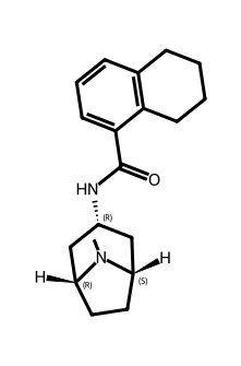 CN1[C@@H]2CC[C@H]1C[C@@H](NC(=O)c1cccc3c1CCCC3)C2